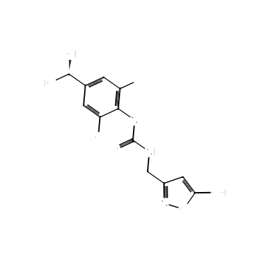 Cc1cc(CNC(=O)Nc2c(Cl)cc([C@@H](O)C(F)(F)F)cc2Cl)no1